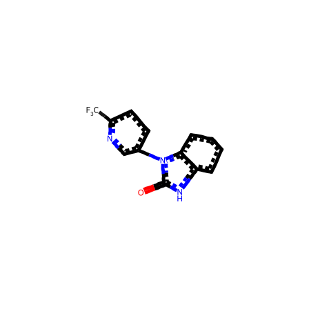 O=c1[nH]c2ccccc2n1-c1ccc(C(F)(F)F)nc1